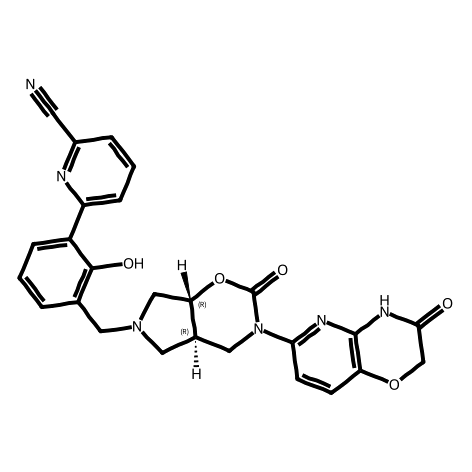 N#Cc1cccc(-c2cccc(CN3C[C@@H]4CN(c5ccc6c(n5)NC(=O)CO6)C(=O)O[C@H]4C3)c2O)n1